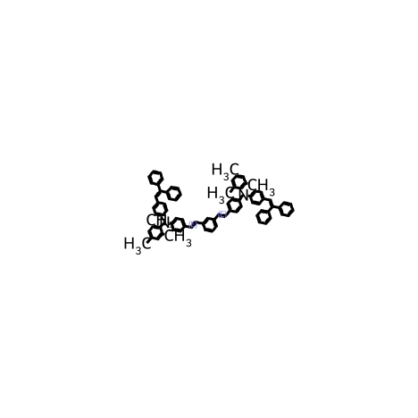 Cc1cc(C)c(N(c2ccc(C=C(c3ccccc3)c3ccccc3)cc2)c2ccc(/C=C/c3cccc(/C=C/c4ccc(N(c5ccc(C=C(c6ccccc6)c6ccccc6)cc5)c5c(C)cc(C)cc5C)cc4)c3)cc2)c(C)c1